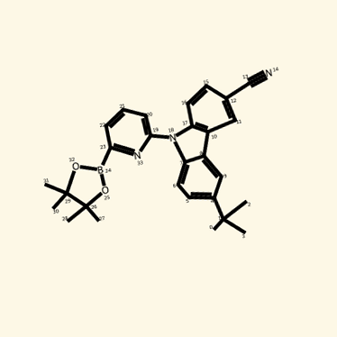 CC(C)(C)c1ccc2c(c1)c1cc(C#N)ccc1n2-c1cccc(B2OC(C)(C)C(C)(C)O2)n1